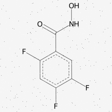 O=C(NO)c1cc(F)c(F)cc1F